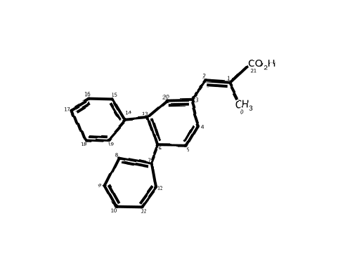 CC(=Cc1ccc(-c2ccccc2)c(-c2ccccc2)c1)C(=O)O